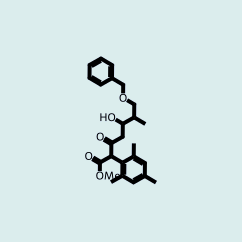 COC(=O)C(C(=O)CC(O)C(C)COCc1ccccc1)c1c(C)cc(C)cc1C